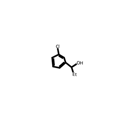 [CH2]CC(O)c1cccc(Cl)c1